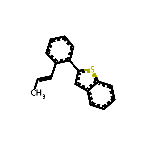 C/C=C/c1ccccc1-c1cc2ccccc2s1